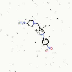 NC1CCN(CC2[C@H]3CN(c4ccc([N+](=O)[O-])cc4)C[C@@H]23)CC1